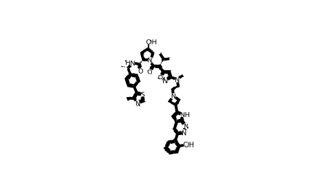 Cc1ncsc1-c1ccc([C@H](C)NC(=O)[C@@H]2C[C@@H](O)CN2C(=O)[C@@H](c2cc(N(C)CCN3CC(c4cc5cc(-c6ccccc6O)nnc5[nH]4)C3)no2)C(C)C)cc1